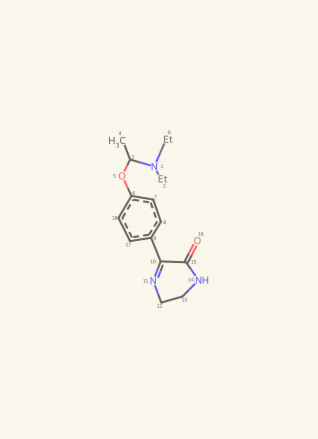 CCN(CC)C(C)Oc1ccc(C2=NCCNC2=O)cc1